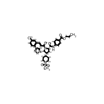 C=CCOC(=O)c1ccc(NC(=O)[C@@H]2C[C@H](C3CCN(S(C)(=O)=O)CC3)CN2C(=O)C=Cc2cc(Cl)ccc2-n2cnnn2)cc1